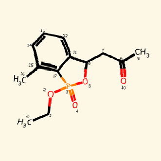 CCOP1(=O)OC(CC(C)=O)c2cccc(C)c21